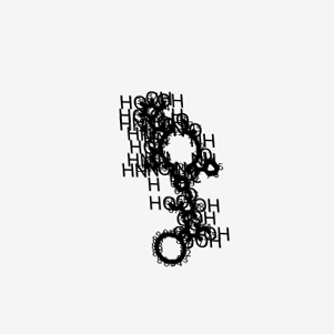 CC(c1ccccc1)C1NC(=O)CNC(=O)C(CO)NC(=O)C(C(O)C2CNC(=N)N2C2OC(CO)C(O)C(O)C2O)NC(=O)C(C(O)C2CNC(=N)N2)NC(=O)C(Cc2ccc(OC3OC(CO)C(OC4OC(CO)C(O)C5OC6(CCCCCCCCCCCC6)OC45)C(O)C3O)cc2)NC1=O